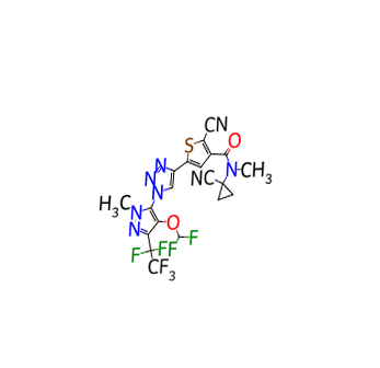 CN(C(=O)c1cc(-c2cn(-c3c(OC(F)F)c(C(F)(F)C(F)(F)F)nn3C)nn2)sc1C#N)C1(C#N)CC1